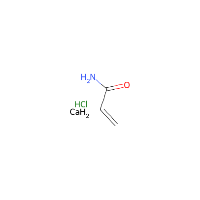 C=CC(N)=O.Cl.[CaH2]